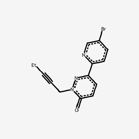 CCC#CCn1nc(-c2ccc(Br)cn2)ccc1=O